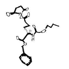 CCCCOC(=O)N[C@@H](CCC(=O)ON1C(=O)CCC1=O)C(=O)OCc1ccccc1